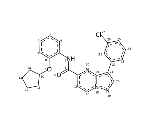 O=C(Nc1ccccc1OC1CCCC1)c1ccn2ncc(-c3cccc(Cl)c3)c2n1